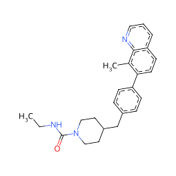 CCNC(=O)N1CCC(Cc2ccc(-c3ccc4cccnc4c3C)cc2)CC1